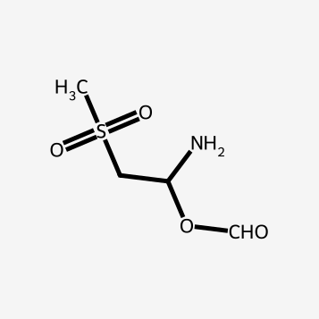 CS(=O)(=O)CC(N)OC=O